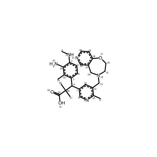 CNc1ccc(C(c2cnc(C)c(CN3CCOc4ccncc4C3)c2)C(C)(C)C(=O)O)c(C)c1N